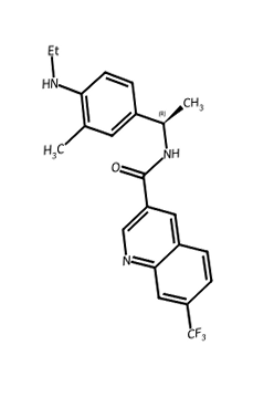 CCNc1ccc([C@@H](C)NC(=O)c2cnc3cc(C(F)(F)F)ccc3c2)cc1C